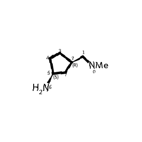 CNC[C@@H]1CC[C@H](N)C1